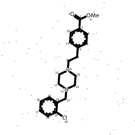 COC(=O)c1ccc(CCN2CCN(Cc3ccccc3Cl)CC2)cc1